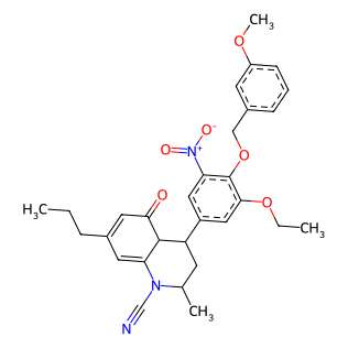 CCCC1=CC(=O)C2C(=C1)N(C#N)C(C)CC2c1cc(OCC)c(OCc2cccc(OC)c2)c([N+](=O)[O-])c1